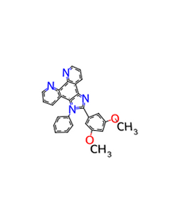 COc1cc(OC)cc(-c2nc3c4cccnc4c4ncccc4c3n2-c2ccccc2)c1